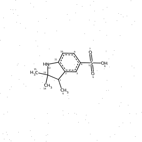 CC1c2cc(S(=O)(=O)O)ccc2NC1(C)C